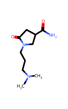 CN(C)CCCN1CC(C(N)=O)CC1=O